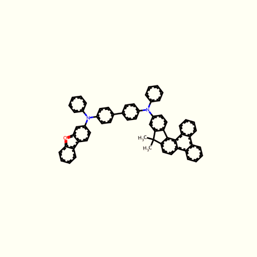 CC1(C)c2cc(N(c3ccccc3)c3ccc(-c4ccc(N(c5ccccc5)c5ccc6c(c5)oc5ccccc56)cc4)cc3)ccc2-c2c1ccc1c3ccccc3c3ccccc3c21